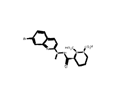 CN(NC(=O)[C@@H]1CCCN(C(=O)O)N1C(=O)O)c1ccc2ccc(Br)cc2n1